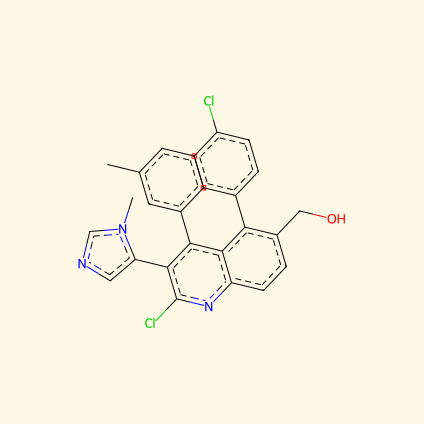 Cc1cccc(-c2c(-c3cncn3C)c(Cl)nc3ccc(CO)c(-c4ccc(Cl)cc4)c23)c1